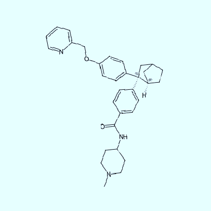 CN1CCC(NC(=O)c2ccc([C@]3(c4ccc(OCc5ccccn5)cc4)CC4CC[C@@H]3C4)cc2)CC1